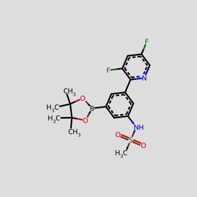 CC1(C)OB(c2cc(NS(C)(=O)=O)cc(-c3ncc(F)cc3F)c2)OC1(C)C